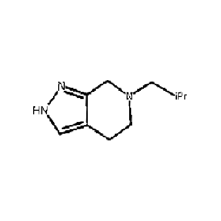 CC(C)CN1CCc2c[nH]nc2C1